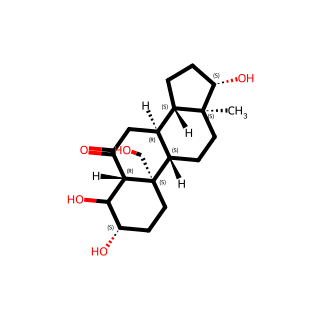 C[C@]12CC[C@H]3[C@@H](CC(=O)[C@H]4C(O)[C@@H](O)CC[C@@]43CO)[C@@H]1CC[C@@H]2O